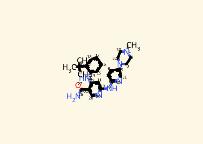 CN1CCN(c2ccc(Nc3cc(Nc4ccccc4C(C)(C)C)c(C(N)=O)cn3)nc2)CC1